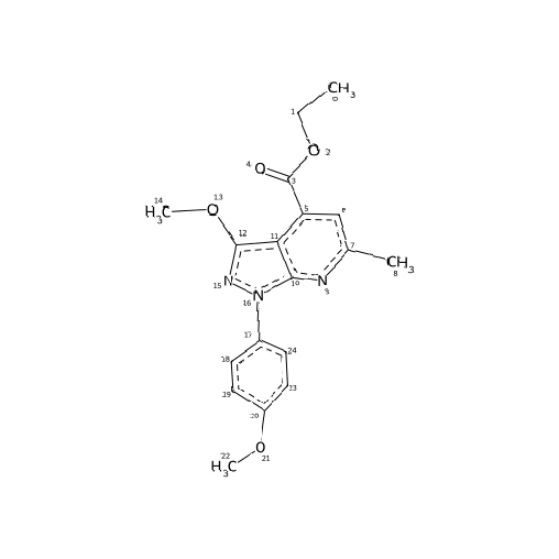 CCOC(=O)c1cc(C)nc2c1c(OC)nn2-c1ccc(OC)cc1